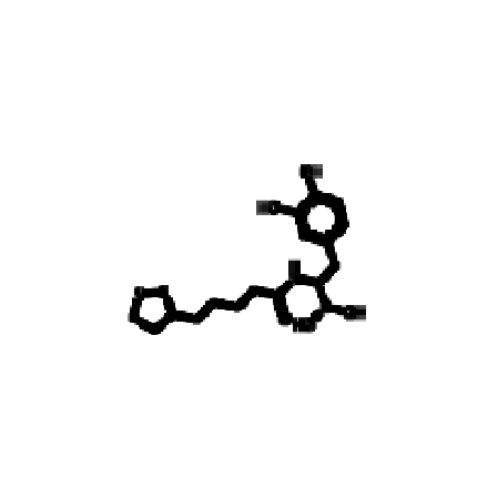 O=C(CCCCC1CCSS1)NC(Cc1ccc(O)c(O)c1)B(O)O